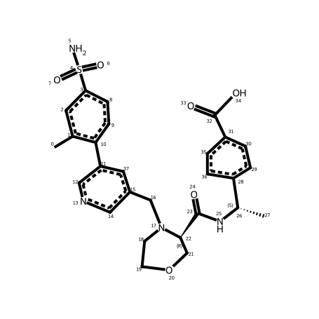 Cc1cc(S(N)(=O)=O)ccc1-c1cncc(CN2CCOC[C@@H]2C(=O)N[C@@H](C)c2ccc(C(=O)O)cc2)c1